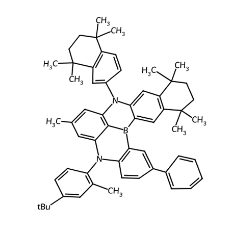 Cc1cc2c3c(c1)N(c1ccc(C(C)(C)C)cc1C)c1ccc(-c4ccccc4)cc1B3c1cc3c(cc1N2c1ccc2c(c1)C(C)(C)CCC2(C)C)C(C)(C)CCC3(C)C